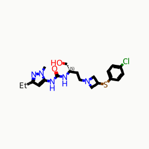 CCc1cc(NC(=O)N[C@H](CO)CCN2CC(Sc3ccc(Cl)cc3)C2)n(C)n1